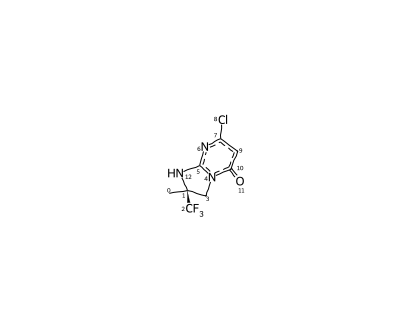 C[C@@]1(C(F)(F)F)Cn2c(nc(Cl)cc2=O)N1